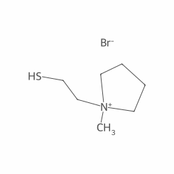 C[N+]1(CCS)CCCC1.[Br-]